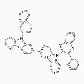 c1ccc2c(c1)-c1nc3ccccc3nc1-n1c3ccc(-c4ccc5c6ccccc6n(-c6ccc7ccccc7c6)c5c4)cc3c3cccc-2c31